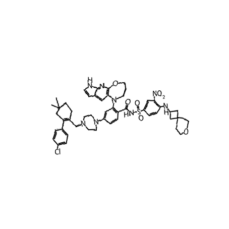 CC1(C)CCC(CN2CCN(c3ccc(C(=O)NS(=O)(=O)c4ccc(NC5CC6(CCOCC6)C5)c([N+](=O)[O-])c4)c(N4CCCOc5nc6[nH]ccc6cc54)c3)CC2)=C(c2ccc(Cl)cc2)C1